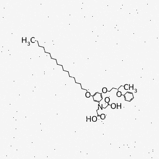 CCCCCCCCCCCCCCCCCCOc1cc(OCCC(CC)Oc2ccccc2)cc(N(CC(=O)O)CC(=O)O)c1